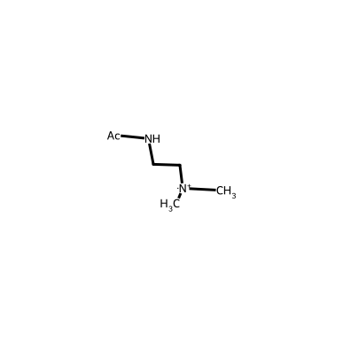 CC(=O)NCC[N+](C)C